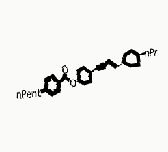 CCCCCc1ccc(C(=O)O[C@H]2CC[C@H](C#CC=C[C@H]3CC[C@H](CCC)CC3)CC2)cc1